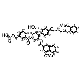 COc1ccccc1COCCCOc1ccc(C2C(CO)CN(C(=O)c3cccc(CON(O)O)c3)CC2OCc2cc(OC)c3ccccc3c2)cc1